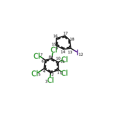 Clc1c(Cl)c(Cl)c(Cl)c(Cl)c1Cl.Ic1ccccc1